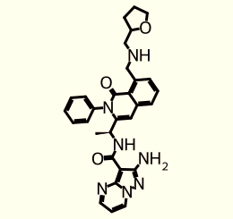 C[C@H](NC(=O)c1c(N)nn2cccnc12)c1cc2cccc(CNCC3CCCO3)c2c(=O)n1-c1ccccc1